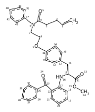 C=CCCC(=O)N(CCOc1ccc(C[C@H](Nc2ccccc2C(=O)c2ccccc2)C(=O)OC)cc1)c1ccccc1